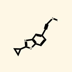 ISC#Cc1ccc2oc(C3CC3)nc2c1